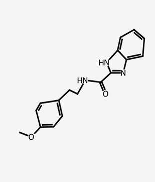 COc1ccc(CCNC(=O)c2nc3ccccc3[nH]2)cc1